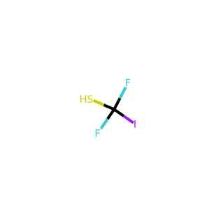 FC(F)(S)I